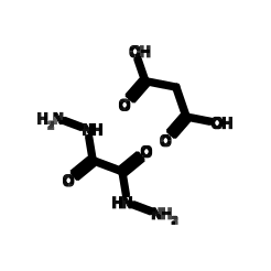 NNC(=O)C(=O)NN.O=C(O)CC(=O)O